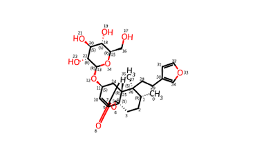 C[C@@H]1CC[C@@]23COC(=O)C2=C[C@@H](O[C@@H]2O[C@H](CO)[C@@H](O)[C@H](O)[C@H]2O)C[C@@H]3[C@@]1(C)CCc1ccoc1